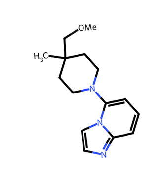 COCC1(C)CCN(c2cccc3nccn23)CC1